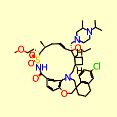 CCO[C@]1(CN2CCN(C(C)C)[C@H](C)C2)/C=C/C[C@H](C)[C@@H](CCOC)S(=O)(=O)NC(=O)c2ccc3c(c2)N(C[C@@H]2CC[C@H]21)CC1(CCCc2cc(Cl)ccc21)CO3